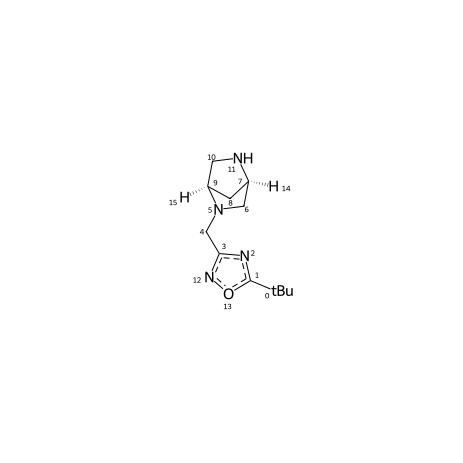 CC(C)(C)c1nc(CN2C[C@H]3C[C@@H]2CN3)no1